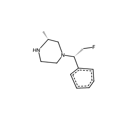 C[C@@H]1CN([C@H](CF)c2ccccc2)CCN1